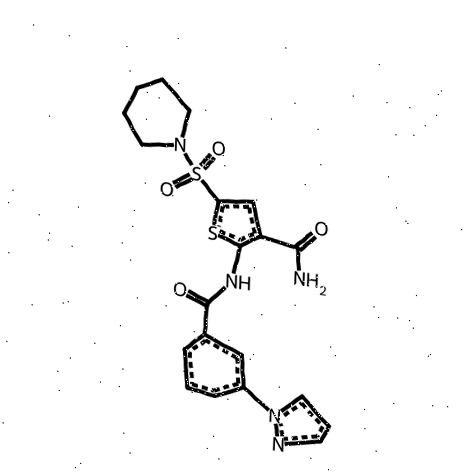 NC(=O)c1cc(S(=O)(=O)N2CCCCC2)sc1NC(=O)c1cccc(-n2cccn2)c1